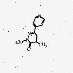 CCCCN1N=C(c2ccncc2)CC(C)C1=O